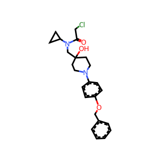 O=C(CCl)N(CC1(O)CCN(c2ccc(OCc3ccccc3)cc2)CC1)C1CC1